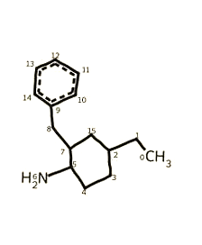 CCC1CCC(N)C(Cc2ccccc2)C1